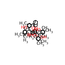 Cc1cc(C)c(C(c2cc(C34CC5CC(C3)CC(c3cc(C)c(O)c(C(c6c(C)cc(C)c(C)c6O)c6c(C)cc(C)c(C)c6O)c3)(C5)C4)cc(C)c2O)c2c(C)cc(C)c(C)c2O)c(O)c1C